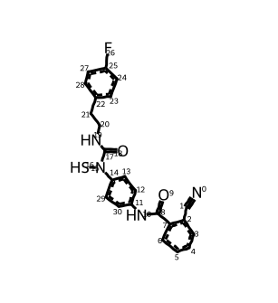 N#Cc1ccccc1C(=O)Nc1ccc(N(S)C(=O)NCCc2ccc(F)cc2)cc1